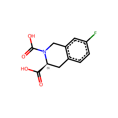 O=C(O)[C@@H]1Cc2ccc(F)cc2CN1C(=O)O